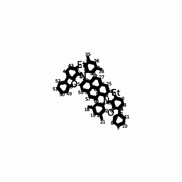 CCc1ccc2c(oc3ccccc32)c1N(c1cc(C)cc(C)c1)c1ccc2ccc3c(N(c4cc(C)cc(C)c4)c4c(CC)ccc5c4oc4ccccc45)ccc4ccc1c2c43